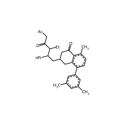 CCCC(CC1CC(=O)c2c(C)ccc(-c3cc(C)cc(C)c3)c2C1)C(CC)C(=O)CC(C)=O